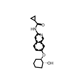 O=C(Nc1cc2ccc(O[C@@H]3CCCC[C@H]3O)cc2cn1)C1CC1